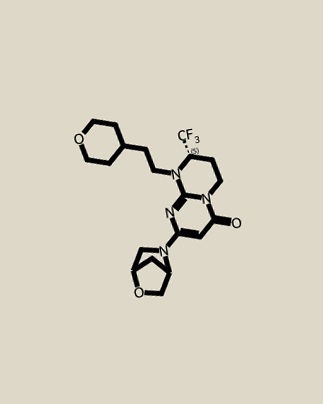 O=c1cc(N2CC3CC2CO3)nc2n1CC[C@@H](C(F)(F)F)N2CCC1CCOCC1